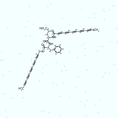 CC#CC#CC#CC#CC#CCOC(=O)C(Cc1ccccc1)NC(=O)C(CCC(=O)O)NC(=O)C#CC#CC#CC#CC#CC